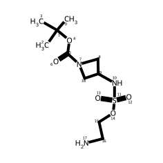 CC(C)(C)OC(=O)N1CC(NS(=O)(=O)OCCN)C1